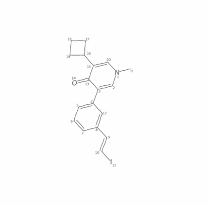 Cn1cc(-c2cccc(C=CI)c2)c(=O)c(C2CCC2)c1